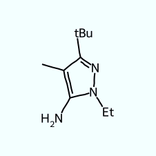 CCn1nc(C(C)(C)C)c(C)c1N